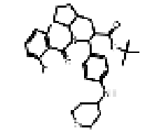 Cc1cccc(F)c1C(=O)N1C2CCCC2CC(C(=O)OC(C)(C)C)C1c1ccc(NC2CCOCC2)cc1